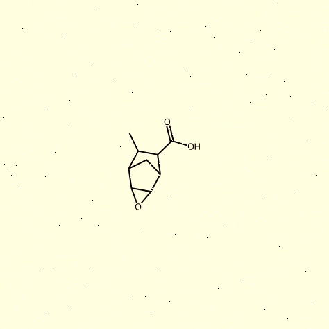 CC1C2CC(C3OC23)C1C(=O)O